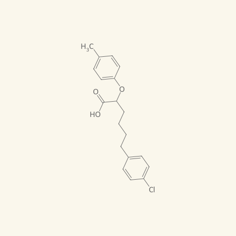 Cc1ccc(OC(CCCCc2ccc(Cl)cc2)C(=O)O)cc1